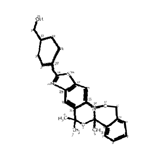 CC1(C)OC2(C)c3ccccc3CCN2c2cc3sc(C4CCC(CO)CC4)nc3cc21